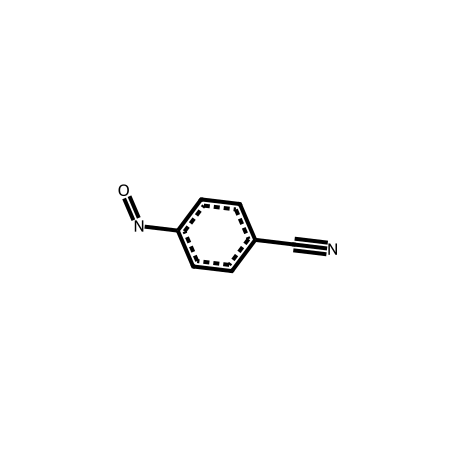 N#Cc1ccc(N=O)cc1